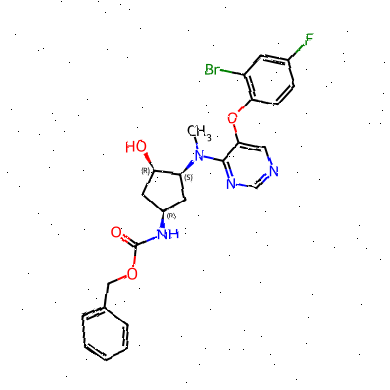 CN(c1ncncc1Oc1ccc(F)cc1Br)[C@H]1C[C@@H](NC(=O)OCc2ccccc2)C[C@H]1O